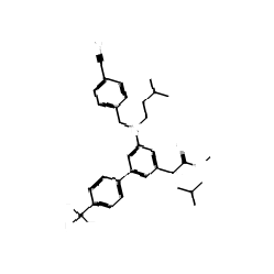 COC(=O)[C@H](CC(C)C)c1cc(-c2ccc(C(F)(F)F)cc2)cc(N(CCC(C)C)Cc2ccc(C#N)cc2)c1